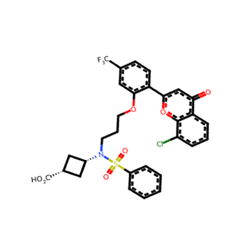 O=c1cc(-c2ccc(C(F)(F)F)cc2OCCCN([C@H]2C[C@@H](C(=O)O)C2)S(=O)(=O)c2ccccc2)oc2c(Cl)cccc12